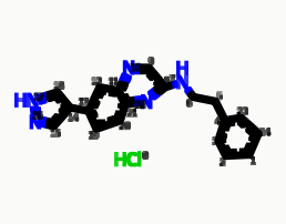 Cl.c1ccc(CCNc2cnc3cc(-c4cn[nH]c4)ccc3n2)cc1